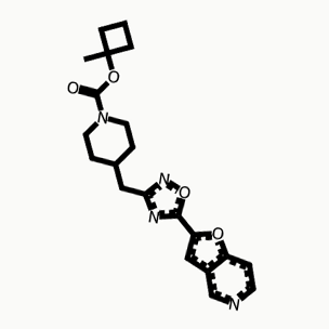 CC1(OC(=O)N2CCC(Cc3noc(-c4cc5cnccc5o4)n3)CC2)CCC1